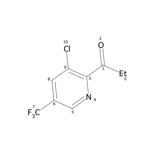 CCC(=O)c1ncc(C(F)(F)F)cc1Cl